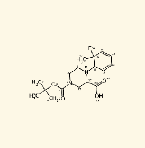 CC(C)(C)OC(=O)N1CCN(C2C=CC=CC2(C)F)C(C(=O)O)C1